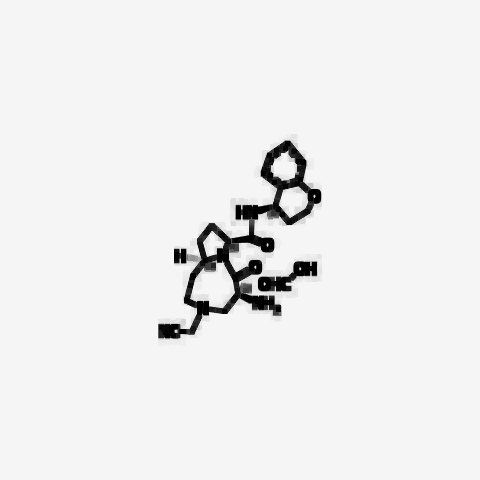 N#CCN1CC[C@H]2CC[C@@H](C(=O)N[C@@H]3CCOc4ccccc43)N2C(=O)[C@@H](N)C1.O=CO